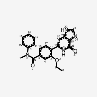 CCOc1cc(C(=O)N(C)c2ccccc2)ccc1-c1nc2[nH]cnc2c(=O)[nH]1